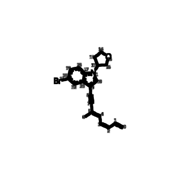 C=C/C=C\C=C(/C)C#Cc1cn(C2CCOC2)c2ccc(Br)cc12